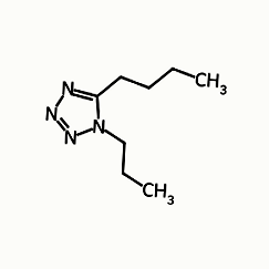 CCCCc1nnnn1CCC